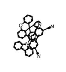 N#Cc1ccc2c(c1)c1cc(C#N)ccc1n2-c1cccc2c1C1(c3ccccc3O2)c2cccnc2-c2ncc(-n3c4ccccc4c4ccccc43)cc21